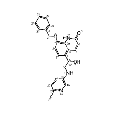 O=c1ccc2c([C@H](O)CNc3ccc(F)nc3)ccc(OCc3ccccc3)c2[nH]1